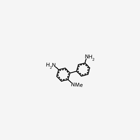 CNc1ccc(N)cc1-c1cccc(N)c1